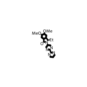 CC[C@@H]1c2cc(OC)c(OC)cc2C(=O)N1c1cnc(-c2ncccn2)nc1